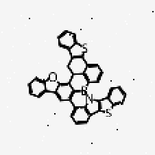 c1cc2c3c(c1)-c1sc4ccccc4c1CC3c1c3c(cc4c1oc1ccccc14)-c1cccc4c5sc6ccccc6c5n(c14)B23